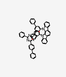 c1ccc(-c2ccc(-c3nc(-c4ccccc4)nc(-c4cccc(-n5c6ccccc6c6ccc7c8ccccc8n(-c8cc(-c9ccccc9)cc(-c9ccccc9)c8)c7c65)c4)n3)cc2)cc1